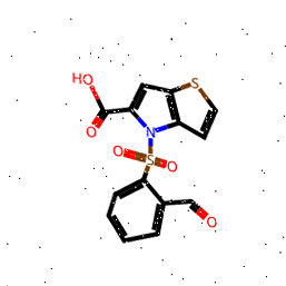 O=Cc1ccccc1S(=O)(=O)n1c(C(=O)O)cc2sccc21